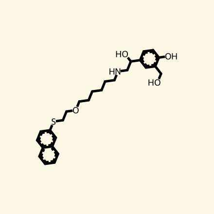 OCc1cc(C(O)CNCCCCCCOCCSc2ccc3ccccc3c2)ccc1O